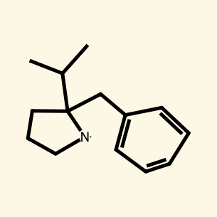 CC(C)C1(Cc2ccccc2)CCC[N]1